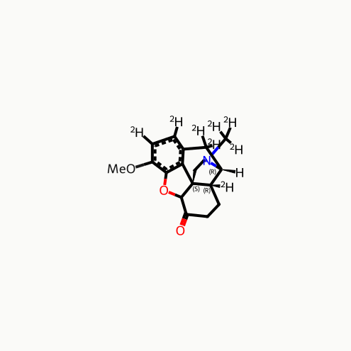 [2H]c1c([2H])c2c3c(c1OC)OC1C(=O)CC[C@@]4([2H])[C@H](N(C([2H])([2H])[2H])CC[C@]314)C2([2H])[2H]